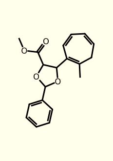 COC(=O)C1OC(c2ccccc2)OC1C1=C(C)CC=CC=C1